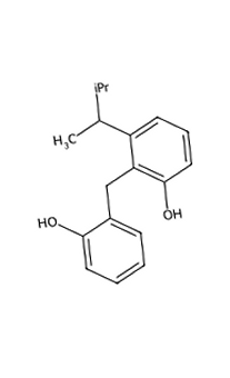 CC(C)C(C)c1cccc(O)c1Cc1ccccc1O